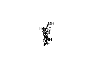 O=C(Nc1cn2cc(-c3c(Cl)c(F)c(C#CCO)c4[nH]ncc34)ncc2n1)[C@@H]1C[C@@H]1F